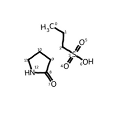 CCCS(=O)(=O)O.O=C1CCCN1